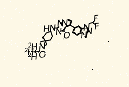 [2H]C([2H])([2H])C(=O)N1CC2(CCC(Nc3nc(OC)c4c(-c5ccc6nnn(CC(F)F)c6c5)ccn4n3)CC2)C1